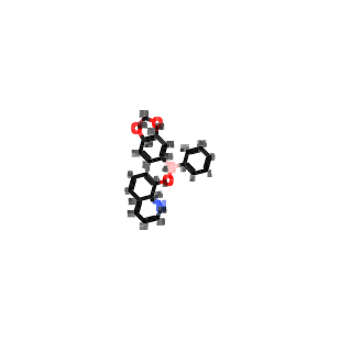 c1ccc(B(Oc2cccc3cccnc23)c2ccc3c(c2)OCO3)cc1